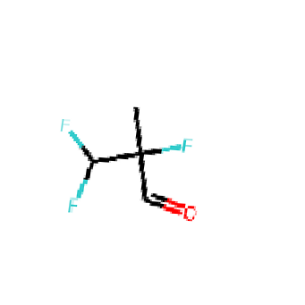 CC(F)([C]=O)C(F)F